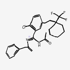 C=C(/N=C(\NC(C)=O)c1cc(CC2(C(F)(F)F)CCCCC2)ccc1Cl)c1ccccc1